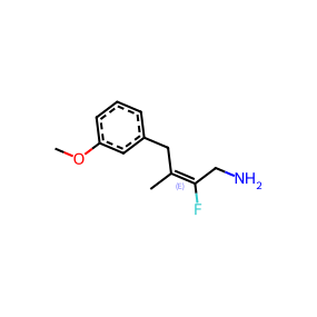 COc1cccc(C/C(C)=C(/F)CN)c1